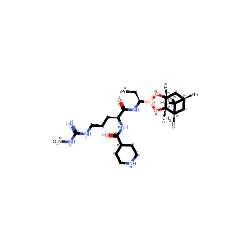 CC(C)C[C@H](NC(=O)[C@H](CCCNC(=N)N[N+](=O)[O-])NC(=O)C1CCNCC1)B1O[C@@H]2C[C@@H]3C[C@@H](C3(C)C)[C@]2(C)O1